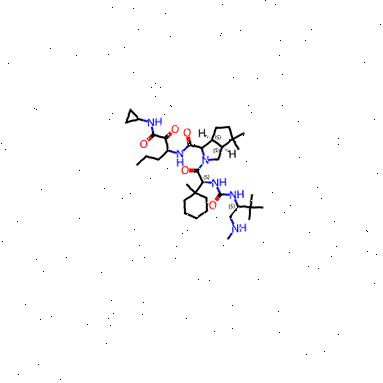 CCCC(NC(=O)C1[C@H]2CCC(C)(C)[C@H]2CN1C(=O)[C@@H](NC(=O)N[C@H](CNC)C(C)(C)C)C1(C)CCCCC1)C(=O)C(=O)NC1CC1